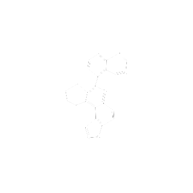 c1cc(-c2nc3ccc4[nH]ncc4c3c3c2CCCC3)c2cnccc2c1